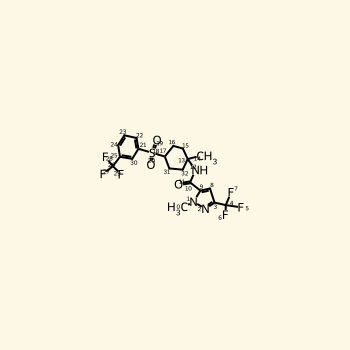 Cn1nc(C(F)(F)F)cc1C(=O)NC1(C)CCC(S(=O)(=O)c2cccc(C(F)(F)F)c2)CC1